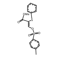 COC(=O)/C(=C/OS(=O)(=O)c1ccc(C)cc1)Sc1ccccc1